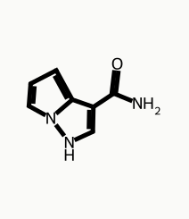 NC(=O)c1c[nH]n2cccc12